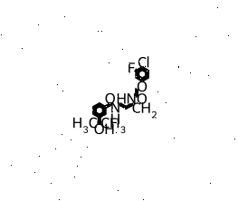 C=C(CCNC(=O)c1cccc(C(C)(C)O)c1)NC(=O)COc1ccc(Cl)c(F)c1